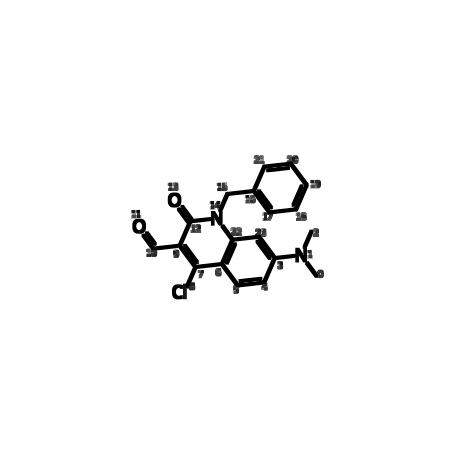 CN(C)c1ccc2c(Cl)c(C=O)c(=O)n(Cc3ccccc3)c2c1